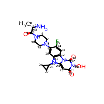 C[C@H](N)C(=O)N1CCN(c2cc3c(cc2F)n2c(=O)n(O)c(=O)cc2n3C2CC2)CC1